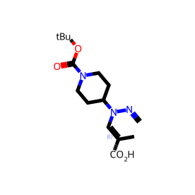 C=NN(/C=C(\C)C(=O)O)C1CCN(C(=O)OC(C)(C)C)CC1